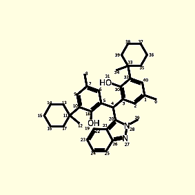 Cc1cc(C(c2cc(C)cc(C3(C)CCCCC3)c2O)c2c3ccccc3nn2C)c(O)c(C2(C)CCCCC2)c1